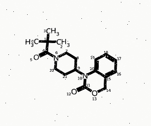 CC(C)(C)C(=O)N1CCC(N2C(=O)OCc3ccccc32)CC1